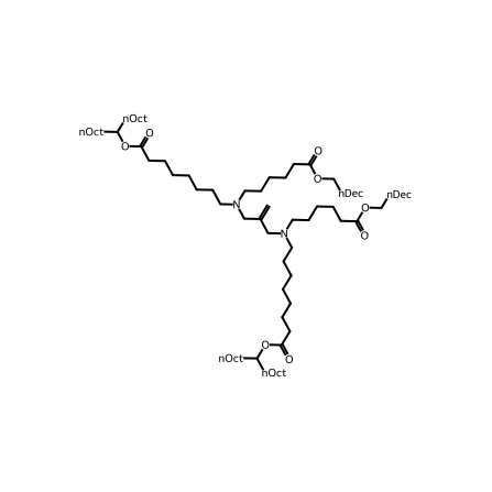 C=C(CN(CCCCCCCC(=O)OC(CCCCCCCC)CCCCCCCC)CCCCCC(=O)OCCCCCCCCCCC)CN(CCCCCCCC(=O)OC(CCCCCCCC)CCCCCCCC)CCCCCC(=O)OCCCCCCCCCCC